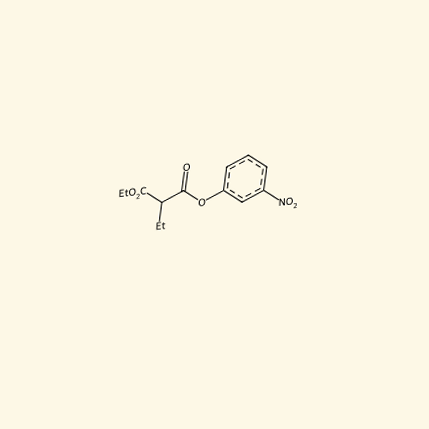 CCOC(=O)C(CC)C(=O)Oc1cccc([N+](=O)[O-])c1